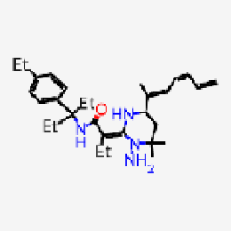 C=C/C=C\C=C(/C)[C@H]1CC(C)(C)N(N)/C(=C(\CC)C(=O)NC(CC)(CC)c2ccc(CC)cc2)N1